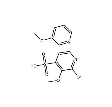 COc1c(S(=O)(=O)O)ccnc1Br.COc1cccnc1